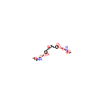 C=C(/C=C/c1ccc(OCCOCCNC(=O)OC(C)C)c(OC)c1)CC(=O)/C=C/c1ccc(OCCOCCNC(=C)OC(C)(C)C)c(OC)c1